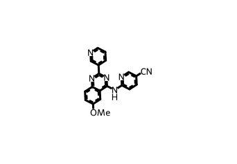 COc1ccc2nc(-c3cccnc3)nc(Nc3ccc(C#N)cn3)c2c1